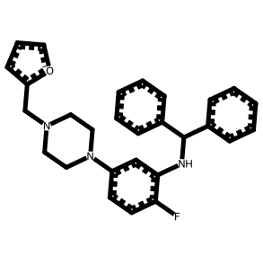 Fc1ccc(N2CCN(Cc3ccco3)CC2)cc1NC(c1ccccc1)c1ccccc1